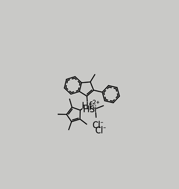 CC1=C(C)[CH]([Hf+2]([C]2=C(c3ccccc3)C(C)c3ccccc32)[SiH](C)C)C(C)=C1C.[Cl-].[Cl-]